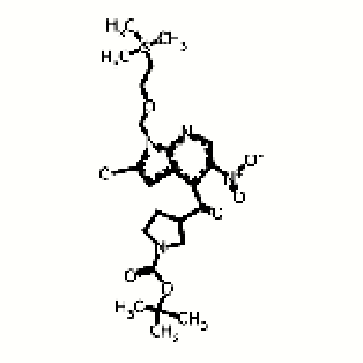 CC(C)(C)OC(=O)N1CCC(C(=O)c2c([N+](=O)[O-])cnc3c2cc(Cl)n3COCCS(C)(C)C)C1